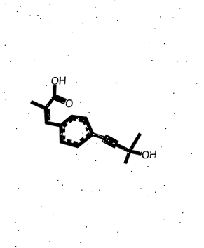 CC(=Cc1ccc(C#CC(C)(C)O)cc1)C(=O)O